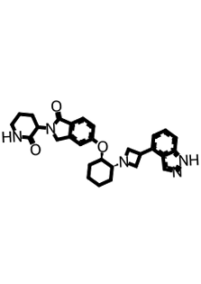 O=C1NCCCC1N1Cc2cc(O[C@@H]3CCCC[C@H]3N3CC(c4cccc5[nH]ncc45)C3)ccc2C1=O